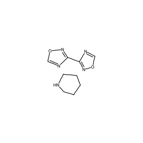 C1CCNCC1.c1nc(-c2ncon2)no1